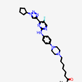 COC(=O)CCCCCCN1CCN(c2ccc(Nc3ncc(F)c(-c4cn(C5CCCC5)nn4)n3)cc2)CC1